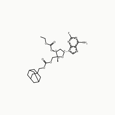 CCOC(=O)O[C@H]1C[C@H](n2cnc3c(N)nc(F)nc32)O[C@]1(C)COC(=O)OCC12CC3CC(CC(C3)C1)C2